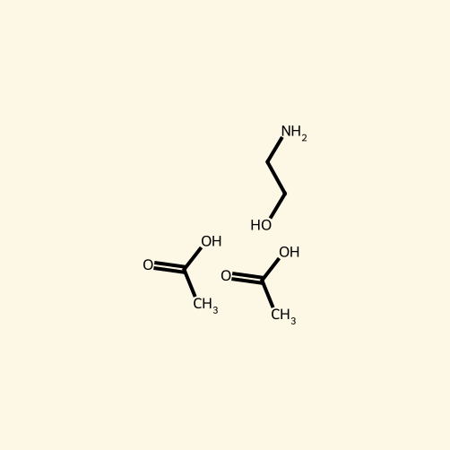 CC(=O)O.CC(=O)O.NCCO